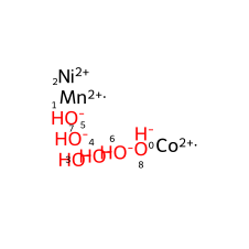 [Co+2].[Mn+2].[Ni+2].[OH-].[OH-].[OH-].[OH-].[OH-].[OH-]